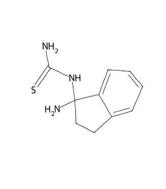 NC(=S)NC1(N)CCc2ccccc21